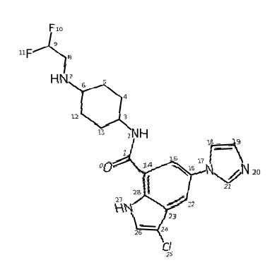 O=C(NC1CCC(NCC(F)F)CC1)c1cc(-n2ccnc2)cc2c(Cl)c[nH]c12